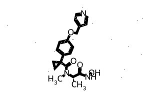 C[C@@H](C(=O)NO)N(C)C(=O)C1(c2ccc(OCc3ccncc3)cc2)CC1